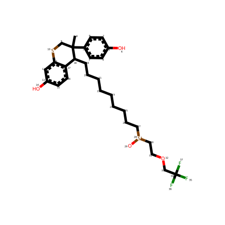 CC1(c2ccc(O)cc2)CSc2cc(O)ccc2C1CCCCCCCCC[S+]([O-])CCOCC(F)(F)F